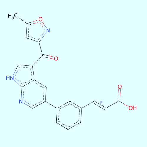 Cc1cc(C(=O)c2c[nH]c3ncc(-c4cccc(/C=C/C(=O)O)c4)cc23)no1